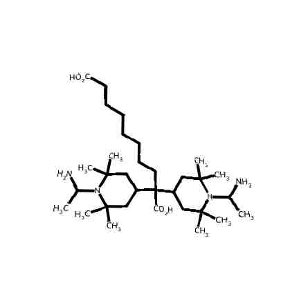 CC(N)N1C(C)(C)CC(C(CCCCCCCC(=O)O)(C(=O)O)C2CC(C)(C)N(C(C)N)C(C)(C)C2)CC1(C)C